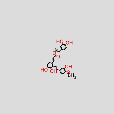 BOc1ccc(/C=C/c2c(/C=C/C(=O)O[C@@H](C)Cc3ccc(O)c(O)c3)ccc(O)c2O)cc1O